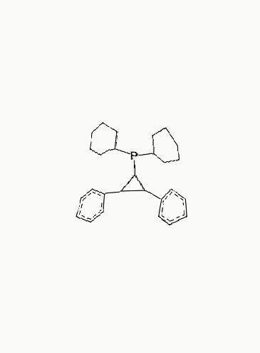 c1ccc(C2C(c3ccccc3)C2P(C2CCCCC2)C2CCCCC2)cc1